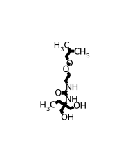 CCC(CO)(CO)NC(=O)NCCOOCC(C)C